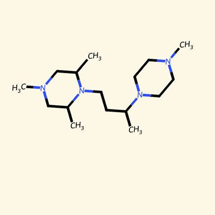 CC(CCN1C(C)CN(C)CC1C)N1CCN(C)CC1